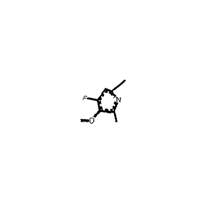 COc1c(F)cc(C)nc1C